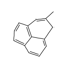 CC1=[C]c2cccc3cccc(c23)[CH]1